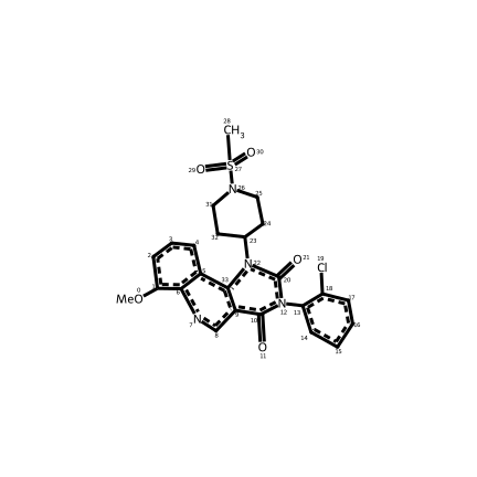 COc1cccc2c1ncc1c(=O)n(-c3ccccc3Cl)c(=O)n(C3CCN(S(C)(=O)=O)CC3)c12